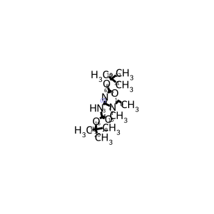 CCN(C)/C(=N\C(=O)OC(C)(C)C)NC(=O)OC(C)(C)C